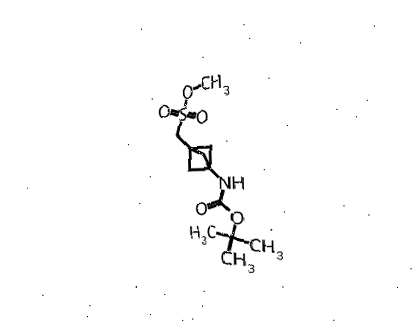 COS(=O)(=O)CC12CC(NC(=O)OC(C)(C)C)(C1)C2